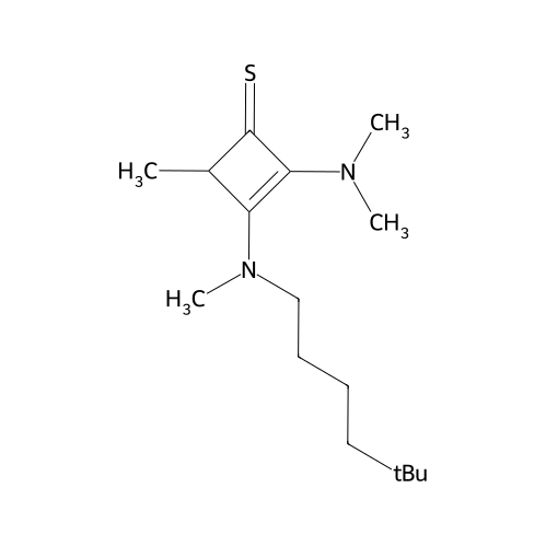 CC1C(=S)C(N(C)C)=C1N(C)CCCCC(C)(C)C